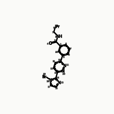 CC(C)CNC(=O)c1cccc(-c2ccc(-c3nccn3Br)nn2)c1